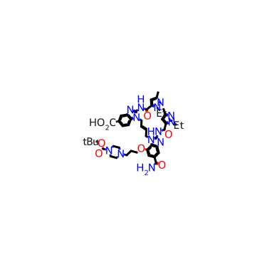 CCn1nc(C)cc1C(=O)Nc1nc2cc(C(=O)O)ccc2n1C/C=C/Cn1c(NC(=O)c2cc(C)nn2CC)nc2cc(C(N)=O)cc(OCCCN3CCN(C(=O)OC(C)(C)C)CC3)c21